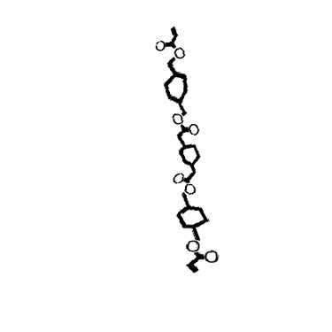 C=CC(=O)OCC1CCC(COC(=O)CC2CCC(CC(=O)OCC3CCC(COC(=O)C=C)CC3)CC2)CC1